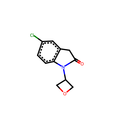 O=C1Cc2cc(Cl)ccc2N1C1COC1